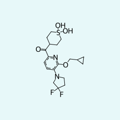 O=C(c1ccc(N2CCC(F)(F)C2)c(OCC2CC2)n1)C1CCS(O)(O)CC1